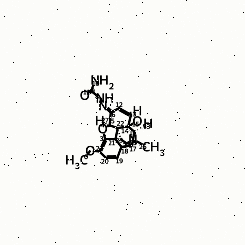 COC1=C2O[C@H]3C(=NNC(N)=O)C=CC4(O)[C@H]5CC(C=C1)C2[C@@]34CCN5C